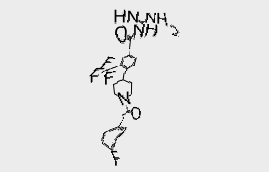 N=C(N)NC(=O)c1ccc(C2CCN(C(=O)Cc3ccc(F)cc3)CC2)c(C(F)(F)F)c1